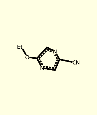 CCOc1cnc(C#N)cn1